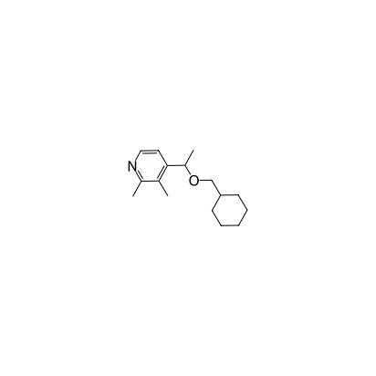 Cc1nccc(C(C)OCC2CCCCC2)c1C